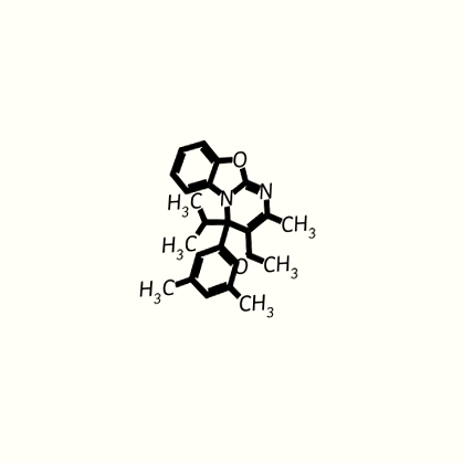 CC(=O)C1=C(C)N=C2Oc3ccccc3N2C1(c1cc(C)cc(C)c1)C(C)C